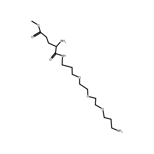 COC(=O)CCC(N)C(=O)NCCCOCCOCCOCCCN